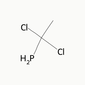 CC(P)(Cl)Cl